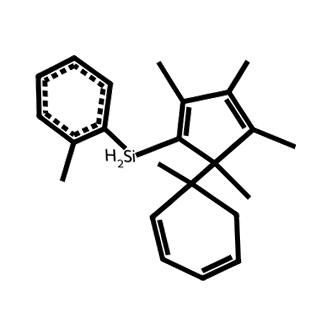 CC1=C(C)C(C)(C2(C)C=CC=CC2)C([SiH2]c2ccccc2C)=C1C